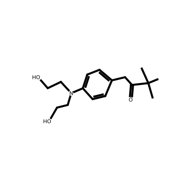 CC(C)(C)C(=O)Cc1ccc(N(CCO)CCO)cc1